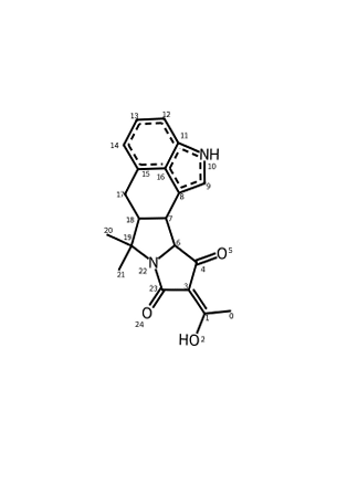 C/C(O)=C1\C(=O)C2C3c4c[nH]c5cccc(c45)CC3C(C)(C)N2C1=O